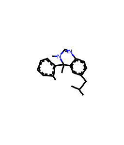 Cc1ccccc1C1(C)c2cc(CC(C)C)ccc2N=CN1C